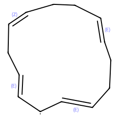 [CH]1/C=C/C/C=C\CC/C=C/CC/C=C/1